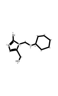 CC(=O)c1ncc(CO)n1COC1CCCCC1